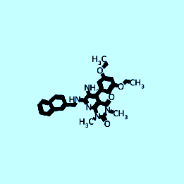 CCOc1cc(OCC)cc(-c2c(N)c(NCc3ccc4ccccc4c3)nc3c2c(=O)n(C)c(=O)n3C)c1